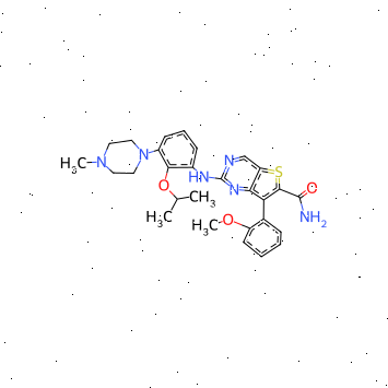 COc1ccccc1-c1c(C(N)=O)sc2cnc(Nc3cccc(N4CCN(C)CC4)c3OC(C)C)nc12